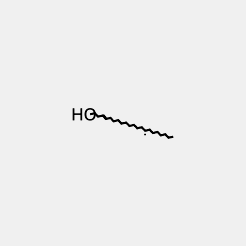 CCCCCCC[CH]CCCCCCCCCC=CCCO